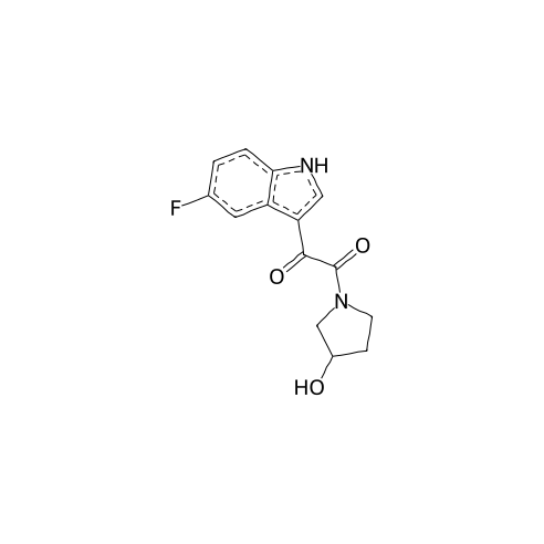 O=C(C(=O)N1CCC(O)C1)c1c[nH]c2ccc(F)cc12